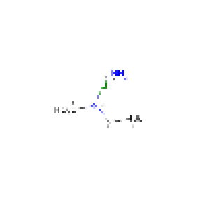 CC(C)(C)CN(Cl)C(=O)O.N